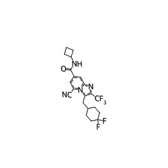 N#Cc1cc(C(=O)NC2CCC2)cc2nc(C(F)(F)F)c(CC3CCC(F)(F)CC3)n12